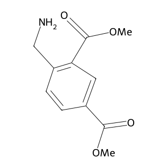 COC(=O)c1ccc(CN)c(C(=O)OC)c1